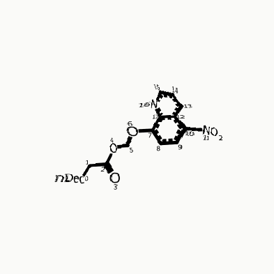 CCCCCCCCCCCC(=O)OCOc1ccc([N+](=O)[O-])c2cccnc12